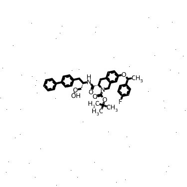 CC(Oc1ccc2c(c1)CN(C(=O)OC(C)(C)C)[C@H](C(=O)N[C@H](COO)Cc1ccc(-c3ccccc3)cc1)C2)c1ccc(F)cc1